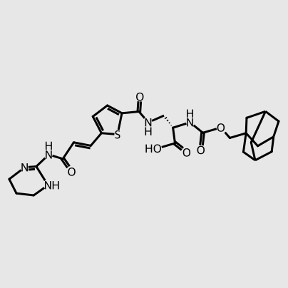 O=C(C=Cc1ccc(C(=O)NC[C@H](NC(=O)OCC23CC4CC(CC(C4)C2)C3)C(=O)O)s1)NC1=NCCCN1